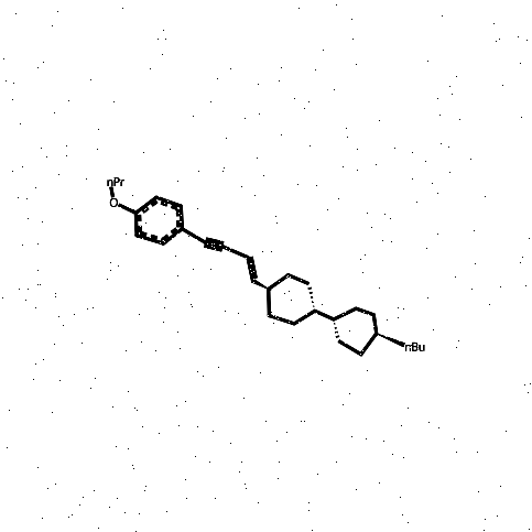 CCCC[C@H]1CC[C@H]([C@H]2CC[C@H](C=CC#Cc3ccc(OCCC)cc3)CC2)CC1